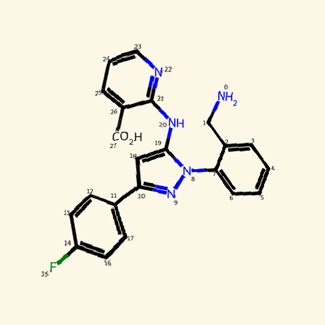 NCc1ccccc1-n1nc(-c2ccc(F)cc2)cc1Nc1ncccc1C(=O)O